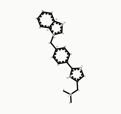 CN(C)Cc1coc(-c2ccc(Cn3cnc4ccccc43)cc2)n1